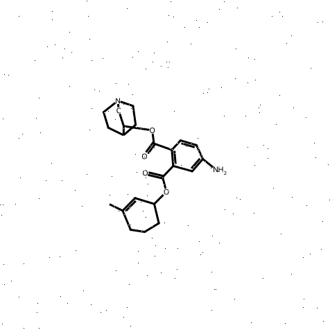 CC1=CC(OC(=O)c2cc(N)ccc2C(=O)OC2CN3CCC2CC3)CCC1